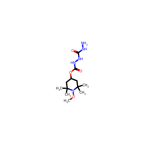 CON1C(C)(C)CC(OC(=O)NNC(=O)NN)CC1(C)C